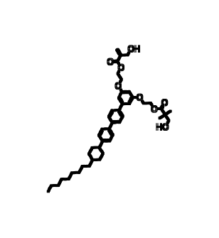 C=C(CO)C(=O)OCCOc1cc(OCCOC(=O)C(C)(C)CO)cc(-c2ccc(-c3ccc(C4CCC(CCCCCCCCC)CC4)cc3)cc2)c1